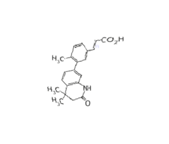 Cc1ccc(/C=C/C(=O)O)cc1-c1ccc2c(c1)NC(=O)CC2(C)C